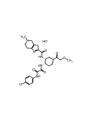 COCC(=O)N1CC[C@H](NC(=O)C(=O)Nc2ccc(Cl)cc2)[C@H](NC(=O)c2nc3c(s2)CN(C)CC3)C1.Cl